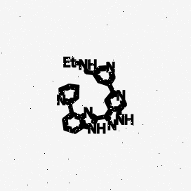 CCNCc1cncc(-c2cc3c(-c4nc5c(-c6ccccn6)cccc5[nH]4)n[nH]c3cn2)c1